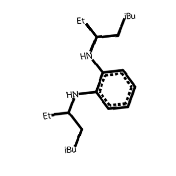 CCC(C)CC(CC)Nc1ccccc1NC(CC)CC(C)CC